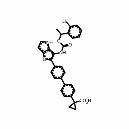 CC(OC(=O)Nc1c(-c2ccc(-c3ccc(C4(C(=O)O)CC4)cc3)cc2)oc2cc[nH]c12)c1ccccc1Cl